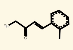 [2H]CC(=O)/C=C/c1ccccc1C